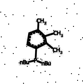 CCCCP(CCCC)c1ccc(C)c(C)c1C